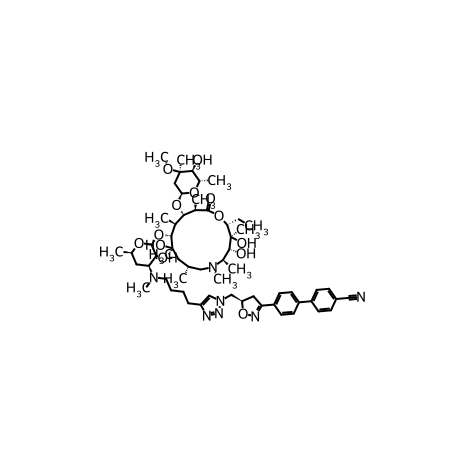 CC[C@H]1OC(=O)[C@H](C)[C@@H](O[C@H]2C[C@@](C)(OC)[C@@H](O)[C@H](C)O2)[C@H](C)[C@@H](O[C@@H]2O[C@H](C)C[C@H](N(C)CCCCc3cn(C[C@H]4CC(c5ccc(-c6ccc(C#N)cc6)cc5)=NO4)nn3)[C@H]2O)[C@](C)(O)C[C@@H](C)CN(C)[C@H](C)[C@@H](O)[C@]1(C)O